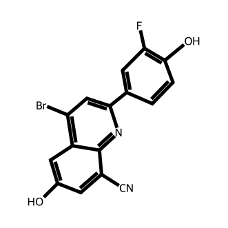 N#Cc1cc(O)cc2c(Br)cc(-c3ccc(O)c(F)c3)nc12